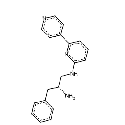 N[C@@H](CNc1cccc(-c2ccncc2)n1)Cc1ccccc1